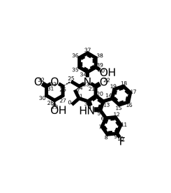 CC(C)c1[nH]c(-c2ccc(F)cc2)c(-c2ccccc2)c1C(=O)N(CC[C@@H]1C[C@@H](O)CC(=O)O1)c1ccccc1O